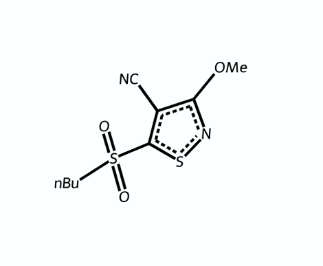 CCCCS(=O)(=O)c1snc(OC)c1C#N